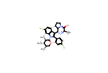 CC(=O)O[C@@H]1[C@@H](OC(C)=O)[C@H](OC(C)=O)CO[C@H]1n1c(-c2ccc(F)cc2)c(CC2CCCN2C(=O)C(N)C(C)(C)C)c2ccc(F)cc21